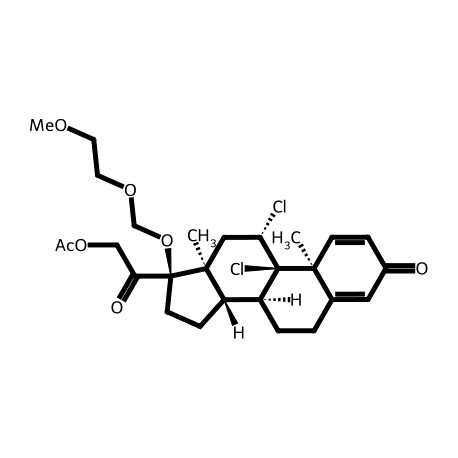 COCCOCO[C@]1(C(=O)COC(C)=O)CC[C@H]2[C@@H]3CCC4=CC(=O)C=C[C@]4(C)[C@@]3(Cl)[C@@H](Cl)C[C@@]21C